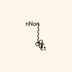 CCCCCCCCCCCCCCCCCC(=O)OC(C)OCC